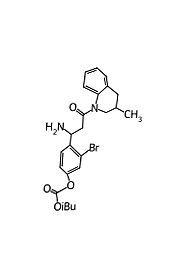 CC(C)COC(=O)Oc1ccc(C(N)CC(=O)N2CC(C)Cc3ccccc32)c(Br)c1